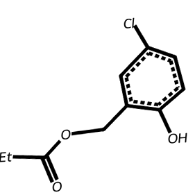 CCC(=O)OCc1cc(Cl)ccc1O